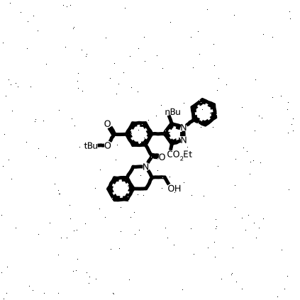 CCCCc1c(-c2ccc(C(=O)OC(C)(C)C)cc2C(=O)N2Cc3ccccc3CC2CO)c(C(=O)OCC)nn1-c1ccccc1